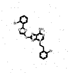 Nc1ncn(CCc2ccccc2Br)c2nc(SC3=COC(c4ccccc4Br)O3)nc1-2